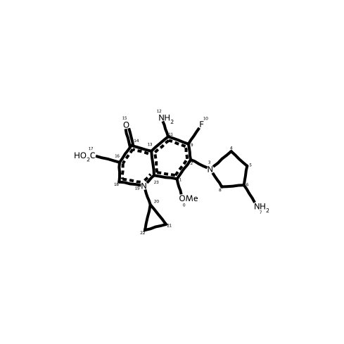 COc1c(N2CCC(N)C2)c(F)c(N)c2c(=O)c(C(=O)O)cn(C3CC3)c12